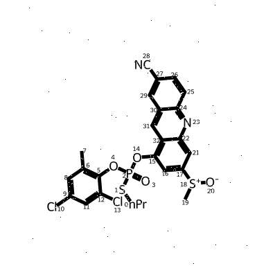 CCCSP(=O)(Oc1c(C)cc(Cl)cc1Cl)Oc1cc([S+](C)[O-])cc2nc3ccc(C#N)cc3cc12